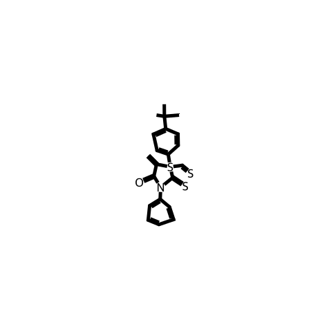 C=C1C(=O)N(c2ccccc2)C(=S)S1(C=S)c1ccc(C(C)(C)C)cc1